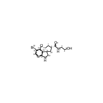 O=C(NCCO)[C@H]1CC[C@@]2(CNc3ncc(Br)c(Cl)c32)C1